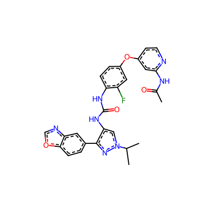 CC(=O)Nc1cc(Oc2ccc(NC(=O)Nc3cn(C(C)C)nc3-c3ccc4ocnc4c3)c(F)c2)ccn1